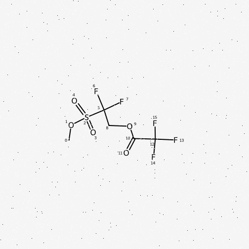 COS(=O)(=O)C(F)(F)COC(=O)C(F)(F)F